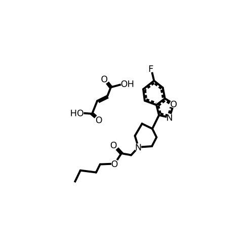 CCCCOC(=O)CN1CCC(c2noc3cc(F)ccc23)CC1.O=C(O)/C=C/C(=O)O